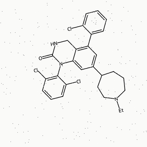 CCN1CCCC(c2cc(-c3ccccc3Cl)c3c(c2)N(c2c(Cl)cccc2Cl)C(=O)NC3)CC1